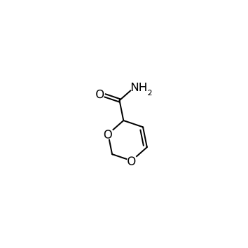 NC(=O)C1C=COCO1